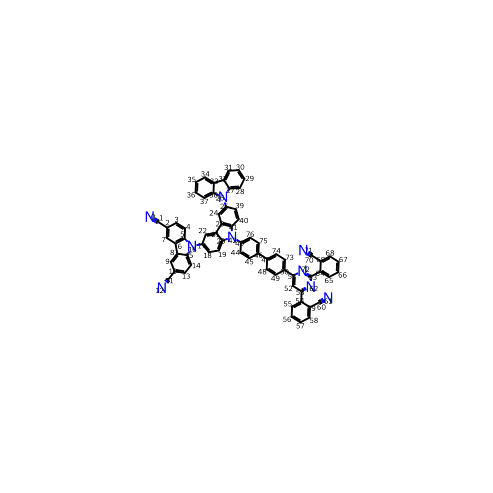 N#Cc1ccc2c(c1)c1cc(C#N)ccc1n2-c1ccc2c(c1)c1cc(-n3c4ccccc4c4ccccc43)ccc1n2-c1ccc(-c2ccc(-c3cc(-c4ccccc4C#N)nc(-c4ccccc4C#N)n3)cc2)cc1